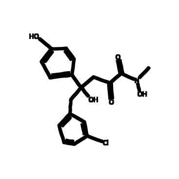 CN(O)C(=O)C(=O)CC(O)(Cc1cccc(Cl)c1)c1ccc(O)cc1